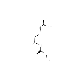 CCOC(=O)C(O)COC[C@H](C)NC(=O)OC(C)(C)C